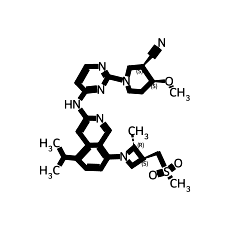 CO[C@H]1CCN(c2nccc(Nc3cc4c(C(C)C)ccc(N5C[C@H](CS(C)(=O)=O)[C@H]5C)c4cn3)n2)C[C@H]1C#N